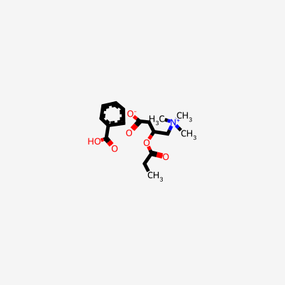 CCC(=O)OC(CC(=O)[O-])C[N+](C)(C)C.O=C(O)c1ccccc1